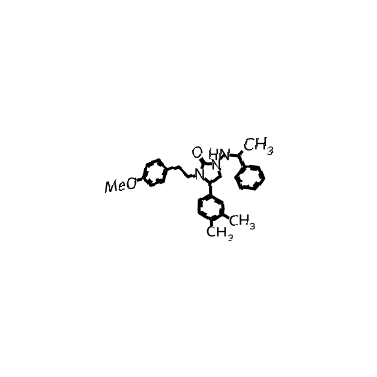 COc1ccc(CCN2C(=O)N(NC(C)c3ccccc3)CC2c2ccc(C)c(C)c2)cc1